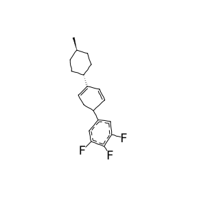 C[C@H]1CC[C@H](C2=CCC(c3cc(F)c(F)c(F)c3)C=C2)CC1